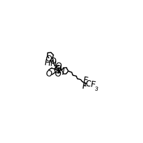 O=C(NOC1CCCCO1)C1(S(=O)(=O)N2CCC(CCCCCCC(F)(F)C(F)(F)F)CC2)CCOCC1